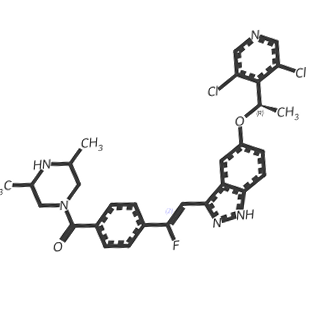 CC1CN(C(=O)c2ccc(/C(F)=C/c3n[nH]c4ccc(O[C@H](C)c5c(Cl)cncc5Cl)cc34)cc2)CC(C)N1